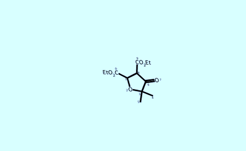 CCOC(=O)C1OC(C)(C)C(=O)C1C(=O)OCC